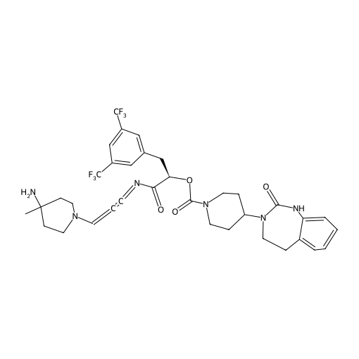 CC1(N)CCN(C=C=C=NC(=O)[C@@H](Cc2cc(C(F)(F)F)cc(C(F)(F)F)c2)OC(=O)N2CCC(N3CCc4ccccc4NC3=O)CC2)CC1